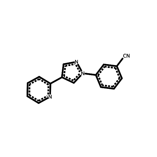 N#Cc1cccc(-n2cc(-c3ccccn3)cn2)c1